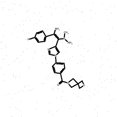 CN(N)/C(=C(\N)c1ccc(F)cc1)c1cn(-c2ccc(C(=O)N3CC4(COC4)C3)cc2)cn1